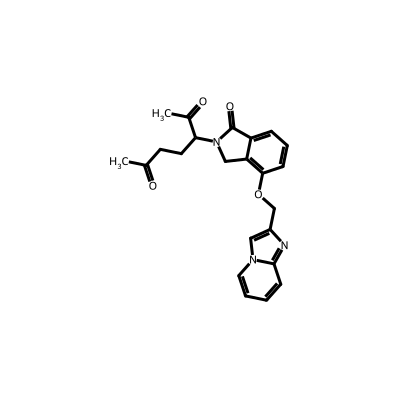 CC(=O)CCC(C(C)=O)N1Cc2c(OCc3cn4ccccc4n3)cccc2C1=O